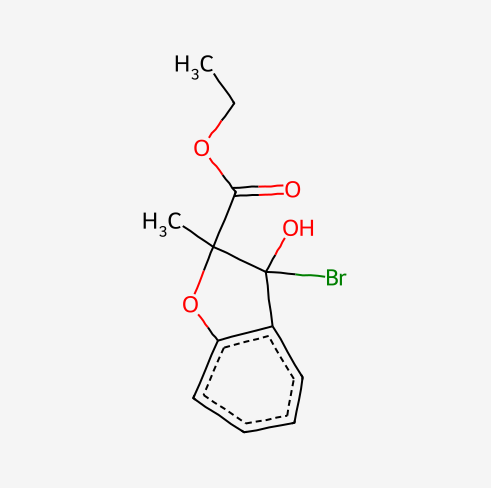 CCOC(=O)C1(C)Oc2ccccc2C1(O)Br